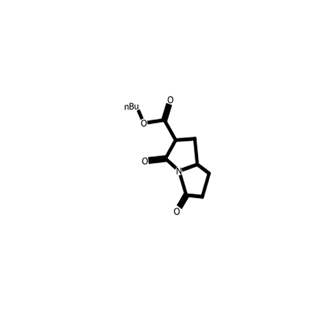 CCCCOC(=O)C1CC2CCC(=O)N2C1=O